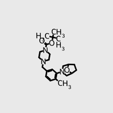 Cc1ccc(CN2CCN(C(=O)OC(C)(C)C)CC2)cc1N1CC2CCC(C1)O2